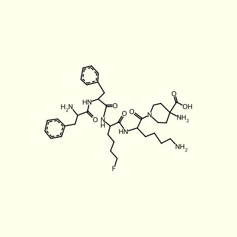 NCCCCC(NC(=O)C(CCCCF)NC(=O)C(Cc1ccccc1)NC(=O)C(N)Cc1ccccc1)C(=O)N1CCC(N)(C(=O)O)CC1